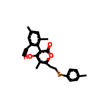 C#Cc1cc(C)cc(C)c1-c1c(O)c(C)c(CCSc2ccc(C)cc2)oc1=O